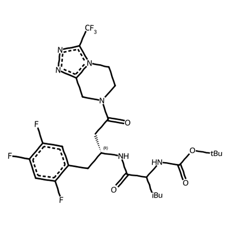 CCC(C)C(NC(=O)OC(C)(C)C)C(=O)N[C@@H](CC(=O)N1CCn2c(nnc2C(F)(F)F)C1)Cc1cc(F)c(F)cc1F